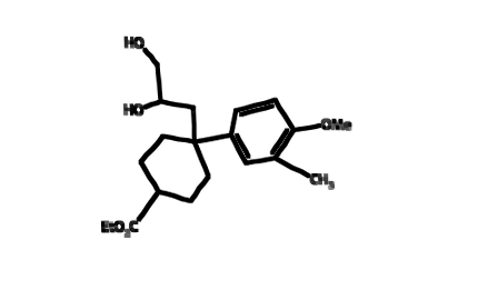 CCOC(=O)C1CCC(CC(O)CO)(c2ccc(OC)c(C)c2)CC1